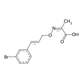 C/C(=N/OC/C=C/c1cccc(Br)c1)C(=O)O